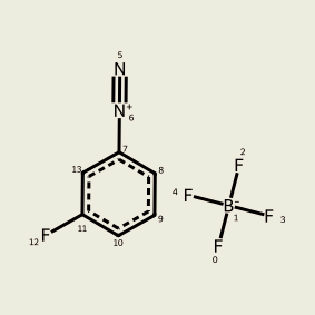 F[B-](F)(F)F.N#[N+]c1cccc(F)c1